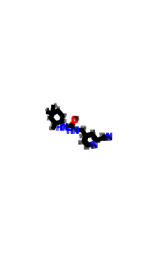 CC1CC(C)(C)CCC1NC(=O)NCc1ccnc(C#N)c1